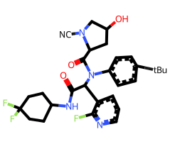 CC(C)(C)c1ccc(N(C(=O)C2CC(O)CN2C#N)C(C(=O)NC2CCC(F)(F)CC2)c2cccnc2F)cc1